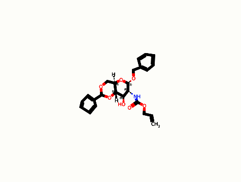 C=CCOC(=O)N[C@H]1[C@@H](OCc2ccccc2)O[C@@H]2COC(c3ccccc3)O[C@H]2[C@@H]1O